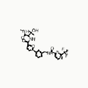 CNC(=O)C(NC(=O)c1ccc(-c2cccc(CNC(=O)c3ccnc(C(F)(F)F)n3)c2)o1)C(C)(C)O